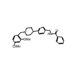 COc1ccc(CN2CCC(c3ccc(CNC(=O)c4ccccc4)cc3)CC2)c(OC)c1